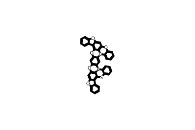 c1ccc2c(c1)Oc1cc3oc4ccccc4c3c3c1B2c1cc2c(cc1O3)Oc1cc3oc4ccccc4c3c3c1B2c1ccccc1S3